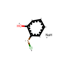 Oc1ccccc1SCl.[NaH]